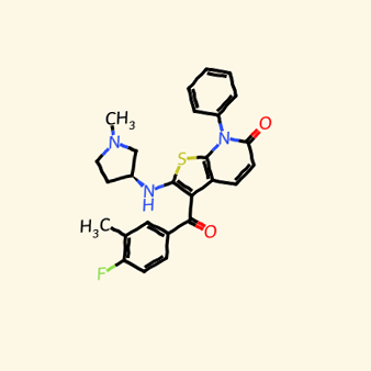 Cc1cc(C(=O)c2c(N[C@H]3CCN(C)C3)sc3c2ccc(=O)n3-c2ccccc2)ccc1F